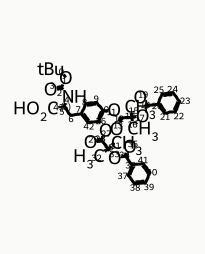 CC(C)(C)OC(=O)N[C@@H](Cc1ccc(OC(=O)C(C)(C)OC(=O)c2ccccc2)c(OC(=O)C(C)(C)OC(=O)c2ccccc2)c1)C(=O)O